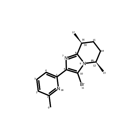 Cc1cccc(-c2nc3n(c2Br)[C@H](C)CC[C@@H]3C)n1